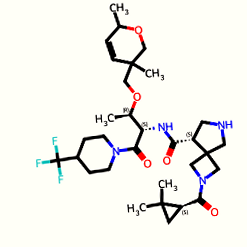 CC1C=CC(C)(CO[C@H](C)[C@H](NC(=O)[C@@H]2CNCC23CN(C(=O)[C@H]2CC2(C)C)C3)C(=O)N2CCC(C(F)(F)F)CC2)CO1